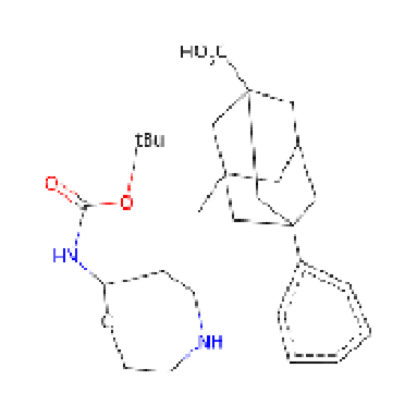 CC(C)(C)OC(=O)NC1CCCNCC1.CC12CC3CC(C(=O)O)(C1)CC(c1ccccc1)(C3)C2